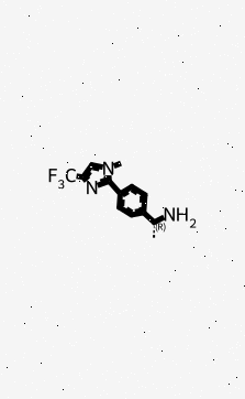 C[C@@H](N)c1ccc(-c2nc(C(F)(F)F)cn2C)cc1